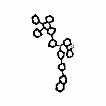 c1ccc(-c2c(-c3ccccc3)c3cc(-c4cccc(N(c5ccc(-c6ccc(-c7ccc8ccccc8c7)cc6)cc5)c5cccc6oc7ccccc7c56)c4)ccc3c3ccccc23)cc1